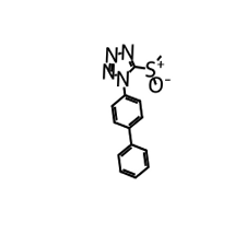 C[S+]([O-])c1nnnn1-c1ccc(-c2ccccc2)cc1